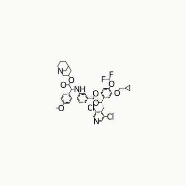 COc1ccc(C(Nc2cccc(C(=O)O[C@@H](Cc3c(Cl)cncc3Cl)c3ccc(OC(F)F)c(OCC4CC4)c3)c2)C(=O)O[C@@H]2CC3CCCN(C3)C2)cc1